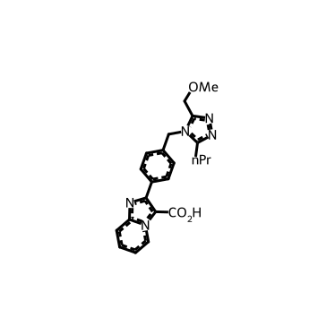 CCCc1nnc(COC)n1Cc1ccc(-c2nc3ccccn3c2C(=O)O)cc1